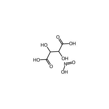 O=C(O)C(O)C(O)C(=O)O.O=NO